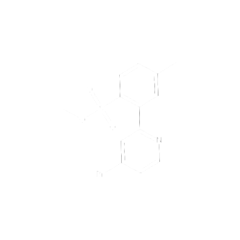 COS(=O)(=O)c1ccc(C)cc1-c1cc(Br)ccn1